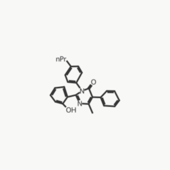 CCCc1ccc(-n2c(-c3ccccc3O)nc(C)c(-c3ccccc3)c2=O)cc1